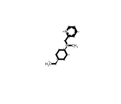 CC[C@H]1CC[C@@H](N(C)Cc2ccccn2)CC1